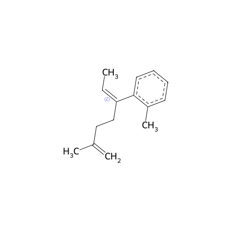 C=C(C)CC/C(=C/C)c1ccccc1C